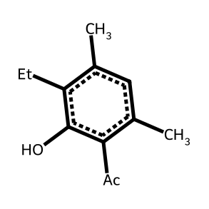 CCc1c(C)cc(C)c(C(C)=O)c1O